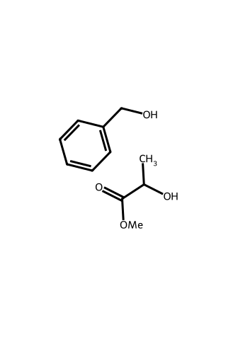 COC(=O)C(C)O.OCc1ccccc1